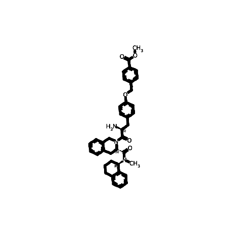 COC(=O)c1ccc(COc2ccc(C[C@H](N)C(=O)N3Cc4ccccc4C[C@H]3C(=O)N(C)[C@@H]3CCCc4ccccc43)cc2)cc1